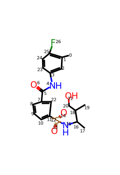 Cc1cc(NC(=O)c2cccc(S(=O)(=O)NC(C)C(C)CO)c2)ccc1F